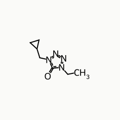 CCn1nnn(CC2CC2)c1=O